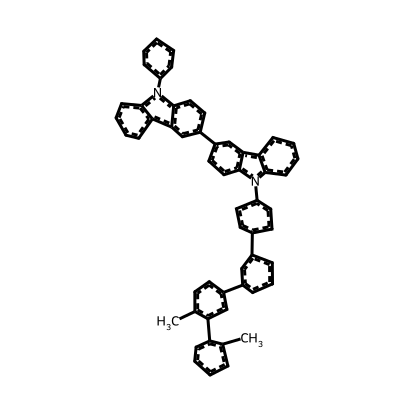 Cc1ccccc1-c1cc(-c2cccc(-c3ccc(-n4c5ccccc5c5cc(-c6ccc7c(c6)c6ccccc6n7-c6ccccc6)ccc54)cc3)c2)ccc1C